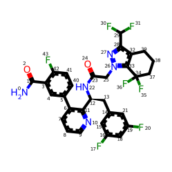 NC(=O)c1cc(-c2cccnc2[C@H](Cc2cc(F)cc(F)c2)NC(=O)Cn2nc(C(F)F)c3c2C(F)(F)CCC3)ccc1F